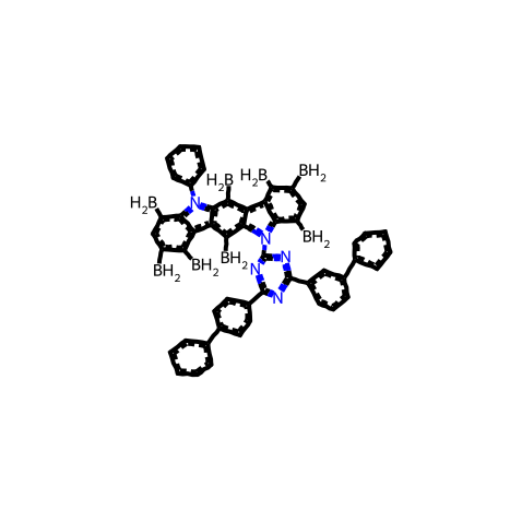 Bc1cc(B)c2c(c1B)c1c(B)c3c(c(B)c1n2-c1ccccc1)c1c(B)c(B)cc(B)c1n3-c1nc(-c2ccc(-c3ccccc3)cc2)nc(-c2cccc(-c3ccccc3)c2)n1